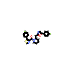 O=C(c1ncsc1-c1ccc(F)cc1)N1CCCCC1Cc1ncc(-c2ccc(F)cc2)o1